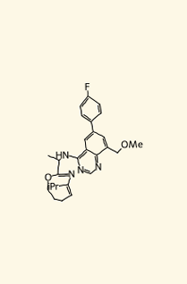 COCc1cc(-c2ccc(F)cc2)cc2c(NC(C)/C3=N/C(C(C)C)=C/CCCO3)ncnc12